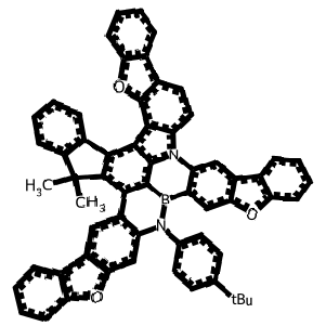 CC(C)(C)c1ccc(N2B3c4cc5oc6ccccc6c5cc4-n4c5ccc6c7ccccc7oc6c5c5c6c(c(c3c54)-c3cc4c(cc32)oc2ccccc24)C(C)(C)c2ccccc2-6)cc1